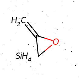 C=C1CO1.[SiH4]